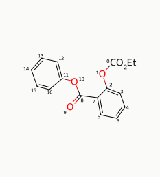 CCOC(=O)Oc1ccccc1C(=O)Oc1ccccc1